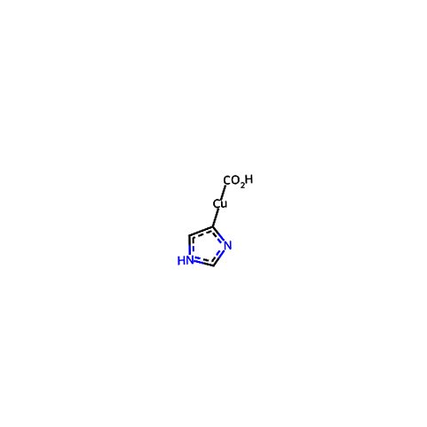 O=[C](O)[Cu][c]1c[nH]cn1